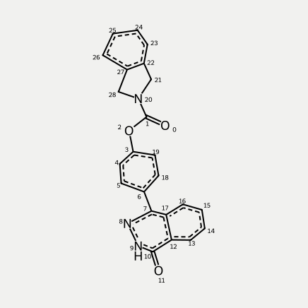 O=C(Oc1ccc(-c2n[nH]c(=O)c3ccccc23)cc1)N1Cc2ccccc2C1